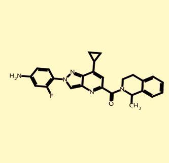 CC1c2ccccc2CCN1C(=O)c1cc(C2CC2)c2nn(-c3ccc(N)cc3F)cc2n1